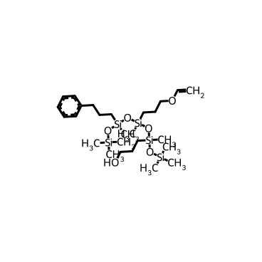 C=COCCC[Si](C)(O[Si](C)(CCCO)O[Si](C)(C)C)O[Si](C)(CCCc1ccccc1)O[Si](C)(C)C